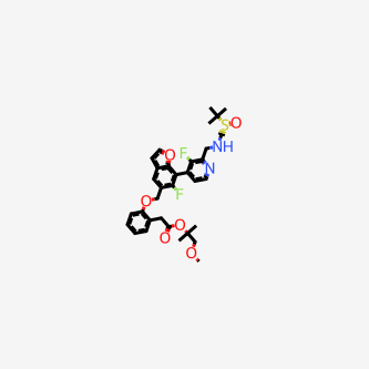 COCC(C)(C)OC(=O)Cc1ccccc1OCc1cc2ccoc2c(-c2ccnc(CNC#S(=O)C(C)(C)C)c2F)c1F